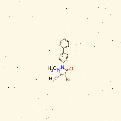 Cc1c(Br)c(=O)n(-c2ccc(-c3ccccc3)cc2)n1C